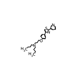 CCCCN(CCCC)CCCOc1ccc(-c2csc(-c3cccnc3)n2)cc1